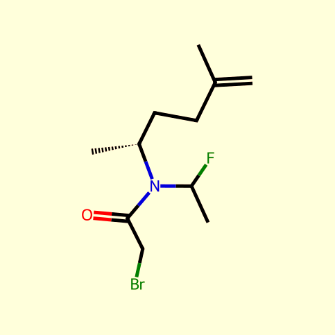 C=C(C)CC[C@@H](C)N(C(=O)CBr)C(C)F